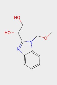 COCn1c(C(O)CO)nc2ccccc21